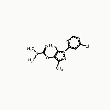 Cc1nn(-c2cc(Cl)ncn2)c(C)c1OC(=O)N(C)C